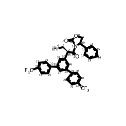 CC(C)C[C@@H](C(=O)N1C(=O)OCC1c1ccccc1)c1cc(-c2ccc(C(F)(F)F)cc2)cc(-c2ccc(C(F)(F)F)cc2)c1